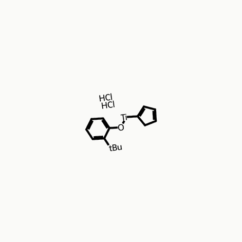 CC(C)(C)c1ccccc1[O][Ti][C]1=CC=CC1.Cl.Cl